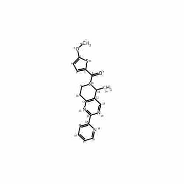 COc1ccc(C(=O)N2CCc3nc(-c4ccccn4)ncc3C2C)s1